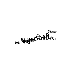 CCC(C)[C@@H](NC(=O)OC)C(=O)N1C[C@@H](C)C[C@H]1c1ncc(-c2ccc3c(c2)COc2cc4c(ccc5nc([C@@H]6C[C@H](COC)CN6C(=O)OC(C)(C)C)[nH]c54)cc2-3)[nH]1